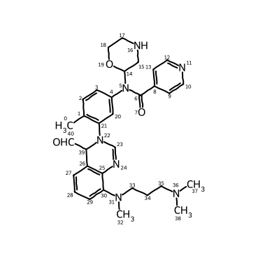 Cc1ccc(N(C(=O)c2ccncc2)C2CNCCO2)cc1N1C=Nc2c(cccc2N(C)CCCN(C)C)C1C=O